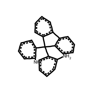 Nc1ccccc1C1(c2ccccc2N)c2ccccc2-c2ccccc21